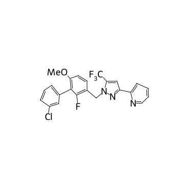 COc1ccc(Cn2nc(-c3ccccn3)cc2C(F)(F)F)c(F)c1-c1cccc(Cl)c1